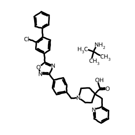 CC(C)(C)N.O=C(O)C1(Cc2ccccn2)CCN(Cc2ccc(-c3noc(-c4ccc(-c5ccccc5)c(Cl)c4)n3)cc2)CC1